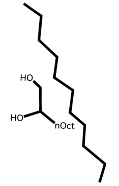 CCCCCCCCC(O)CO.CCCCCCCCCCC